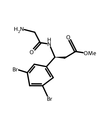 COC(=O)C[C@H](NC(=O)CN)c1cc(Br)cc(Br)c1